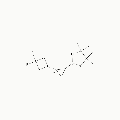 CC1(C)OB(C2C[C@@H]2C2CC(F)(F)C2)OC1(C)C